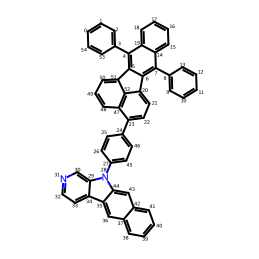 c1ccc(-c2c3c(c(-c4ccccc4)c4ccccc24)-c2ccc(-c4ccc(-n5c6cnccc6c6cc7ccccc7cc65)cc4)c4cccc-3c24)cc1